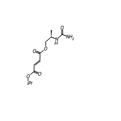 CC(C)OC(=O)/C=C/C(=O)OC[C@@H](C)NC(N)=O